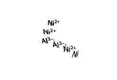 [Al-3].[Al-3].[Ni+2].[Ni+2].[Ni+2].[Ni]